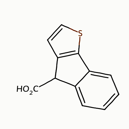 O=C(O)C1c2ccccc2-c2sccc21